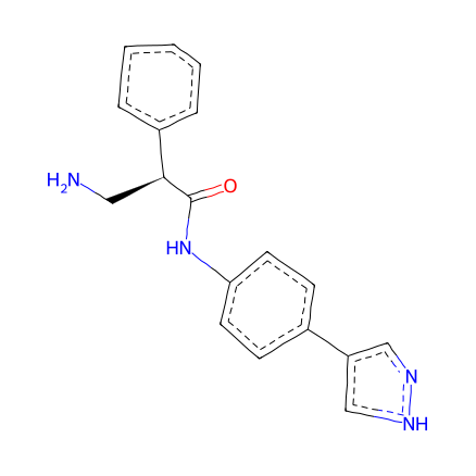 NC[C@H](C(=O)Nc1ccc(-c2cn[nH]c2)cc1)c1ccccc1